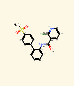 CS(=O)(=O)c1ccc(-c2ccccc2NC(=O)c2cccnc2Cl)cc1